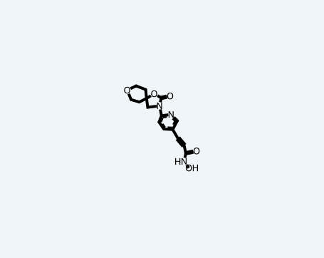 O=C(C#Cc1ccc(N2CC3(CCOCC3)OC2=O)nc1)NO